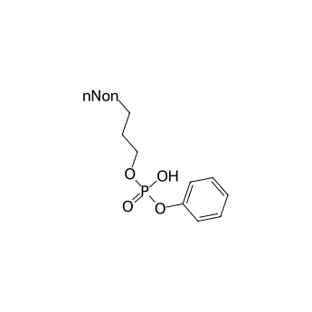 CCCCCCCCCCCCOP(=O)(O)Oc1ccccc1